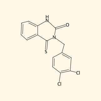 O=c1[nH]c2ccccc2c(=S)n1Cc1ccc(Cl)c(Cl)c1